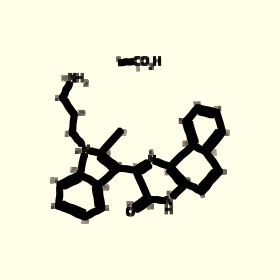 CC(=O)O.Cc1c(-c2nc3c(ccc4ccccc43)[nH]c2=O)c2ccccc2n1CCCN